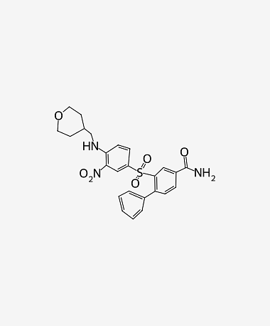 NC(=O)c1ccc(-c2ccccc2)c(S(=O)(=O)c2ccc(NCC3CCOCC3)c([N+](=O)[O-])c2)c1